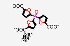 O=C([O-])c1ccc(P(=O)(c2ccc(C(=O)[O-])o2)c2ccc(C(=O)[O-])o2)o1.[Na+].[Na+].[Na+]